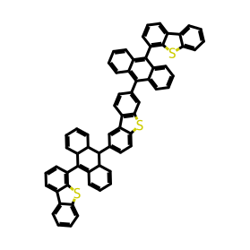 C1=CC2=C(c3cccc4c3sc3ccccc34)C3C=CC=CC3C(c3ccc4sc5cc(-c6c7ccccc7c(-c7cccc8c7sc7ccccc78)c7ccccc67)ccc5c4c3)C2C=C1